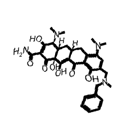 CN(Cc1ccccc1)Cc1cc(N(C)C)c2c(c1O)C(=O)C1=C(O)[C@]3(O)C(=O)C(C(N)=O)=C(O)[C@@H](N(C)C)[C@@H]3C[C@@H]1C2